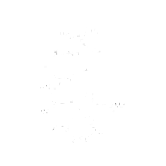 COC(=O)c1nccc2cnc(NC3CCN(S(C)(=O)=O)CC3)cc12